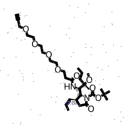 C#CCOCCOCCOCCOCCC(=O)N[C@H]([C@H]1[C@H](/C=C\C)CC(=O)N1C(=O)OC(C)(C)C)[C@](C)(CCC)OC